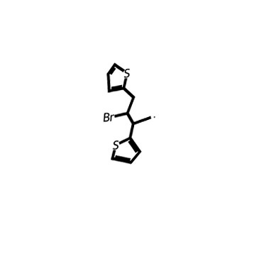 [CH2]C(c1cccs1)C(Br)Cc1cccs1